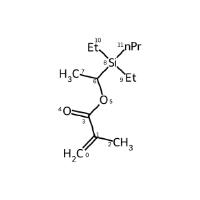 C=C(C)C(=O)OC(C)[Si](CC)(CC)CCC